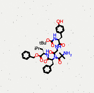 CC(C)C[C@H](NC(=O)[C@H](Cc1ccccc1)N(C(=O)CNC(=O)[C@H](Cc1ccc(O)cc1)NC(=O)OC(C)(C)C)C(=O)C(C)(C)N)C(=O)OCc1ccccc1